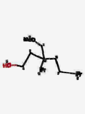 COCC(CCO)(CCC(C)C)C(C)C